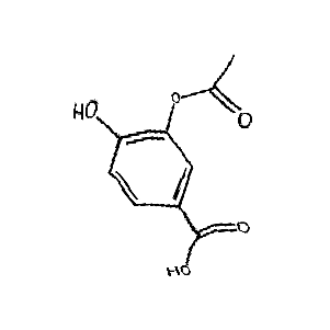 CC(=O)Oc1cc(C(=O)O)ccc1O